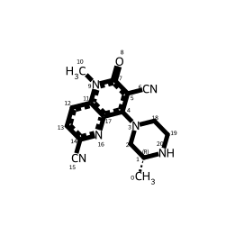 C[C@@H]1CN(c2c(C#N)c(=O)n(C)c3ccc(C#N)nc23)CCN1